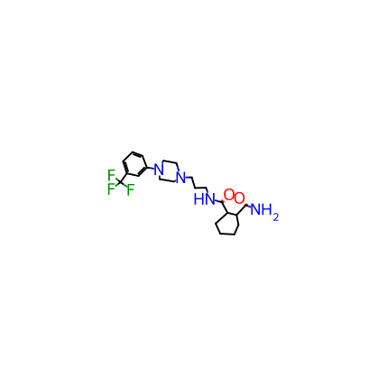 NC(=O)C1CCCCC1C(=O)NCCCN1CCN(c2cccc(C(F)(F)F)c2)CC1